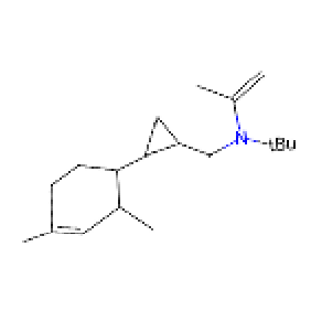 C=C(C)N(CC1CC1C1CCC(C)=CC1C)C(C)(C)C